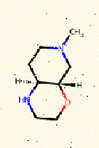 CN1CC[C@@H]2NCCO[C@H]2C1